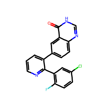 O=c1[nH]cnc2ccc(-c3cccnc3-c3cc(Cl)ccc3F)cc12